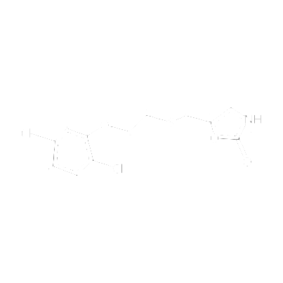 O=c1[nH]cc(CSCCOc2cc(Cl)ccc2Cl)o1